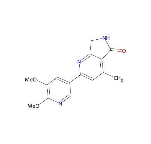 COc1cc(-c2cc(C)c3c(n2)CNC3=O)cnc1OC